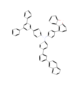 c1ccc(-c2cc(-c3ccccc3)cc(-c3ccc(N(c4ccc(-c5cccc(-c6ccc7ccccc7c6)c5)cc4)c4ccc(-c5cccc6oc7ccccc7c56)cc4)cc3)c2)cc1